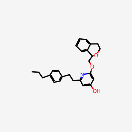 CCCc1ccc(CCc2cc(O)cc(OCC3OCCc4ccccc43)n2)cc1